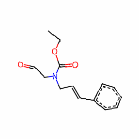 CCOC(=O)N(CC=O)C/C=C/c1ccccc1